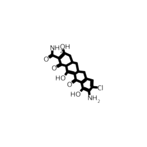 NC(=O)C1=C(O)CC2CC3Cc4cc(Cl)c(N)c(O)c4C(=O)C3=C(O)C2C1=O